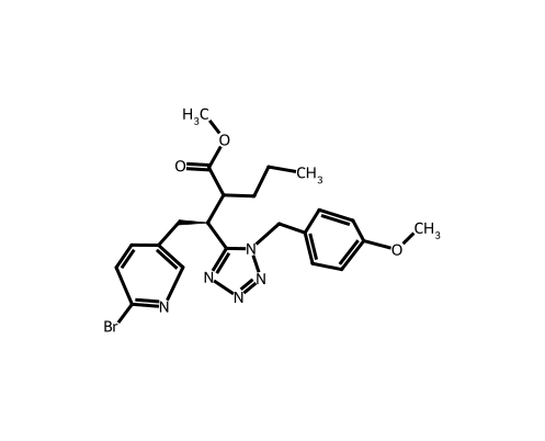 CCCC(C(=O)OC)[C@H](Cc1ccc(Br)nc1)c1nnnn1Cc1ccc(OC)cc1